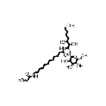 CCCCCCCCCCCCCC[C@@H](O)[C@@H](O)[C@H](CO[C@H]1O[C@H](CO)[C@H](O)[C@H](O)[C@H]1O)NC(=O)CCCCCCCCCCCNC(=O)CCCCCCCCCC